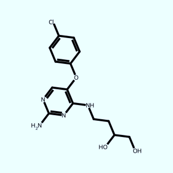 Nc1ncc(Oc2ccc(Cl)cc2)c(NCCC(O)CO)n1